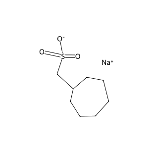 O=S(=O)([O-])CC1CCCCCC1.[Na+]